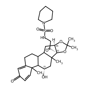 CC1(C)O[C@@H]2CC3C4CCC5=CC(=O)C=CC5(C)C4[C@@H](O)CC3(C)[C@]2(C(=O)CNS(=O)(=O)N2CCCCC2)O1